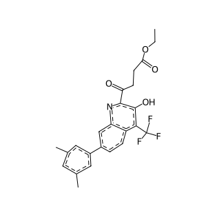 CCOC(=O)CCC(=O)c1nc2cc(-c3cc(C)cc(C)c3)ccc2c(C(F)(F)F)c1O